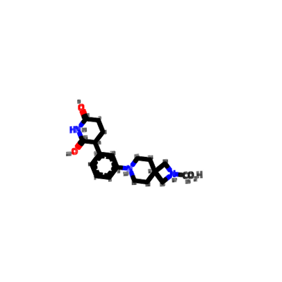 O=C1CCC(c2cccc(N3CCC4(CC3)CN(C(=O)O)C4)c2)C(=O)N1